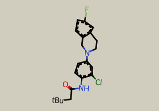 CC(C)(C)CC(=O)Nc1ccc(N2CCc3cc(F)ccc3C2)cc1Cl